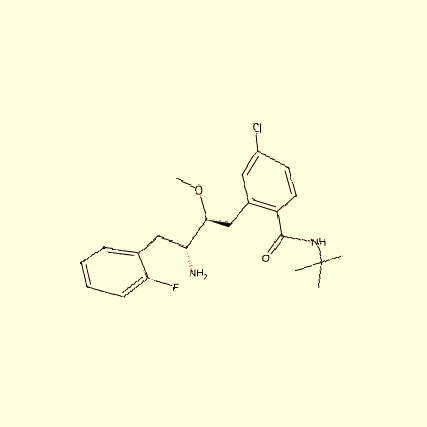 CO[C@@H](Cc1cc(Cl)ccc1C(=O)NC(C)(C)C)[C@H](N)Cc1ccccc1F